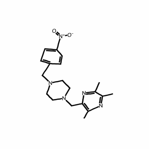 Cc1nc(C)c(CN2CCN(Cc3ccc([N+](=O)[O-])cc3)CC2)nc1C